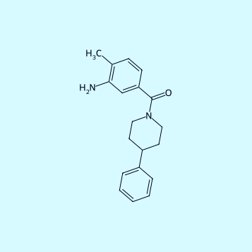 Cc1ccc(C(=O)N2CCC(c3ccccc3)CC2)cc1N